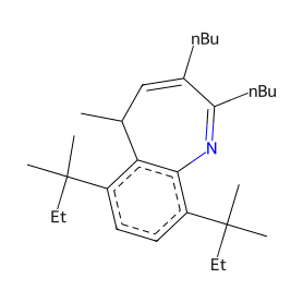 CCCCC1=CC(C)c2c(C(C)(C)CC)ccc(C(C)(C)CC)c2N=C1CCCC